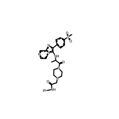 CC(C)NC(=O)CN1CCN(C(=O)C(C)Nc2c(-c3ccc(S(C)(=O)=O)cc3)nc3cnccn23)CC1